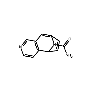 NC(=O)N1C2=Cc3cnccc3C1C=C2